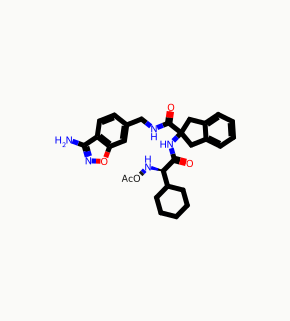 CC(=O)ON[C@@H](C(=O)NC1(C(=O)NCc2ccc3c(N)noc3c2)Cc2ccccc2C1)C1CCCCC1